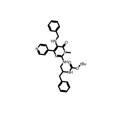 Cn1c(NCC(Cc2ccccc2)NC(=O)OC(C)(C)C)nc(-c2ccncc2)c(NCc2ccccc2)c1=O